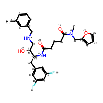 CCc1cccc(CNC[C@@H](O)[C@H](Cc2cc(F)cc(F)c2)NC(=O)CCCC(=O)N(C)Cc2ccco2)c1